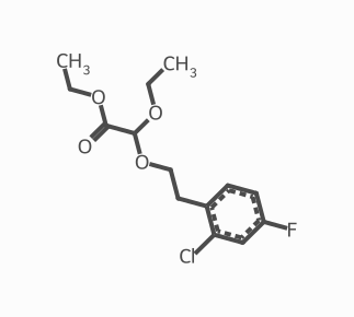 CCOC(=O)C(OCC)OCCc1ccc(F)cc1Cl